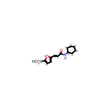 O=C(C=Cc1ccc(S(=O)(=O)O)o1)NC1CCCCC1